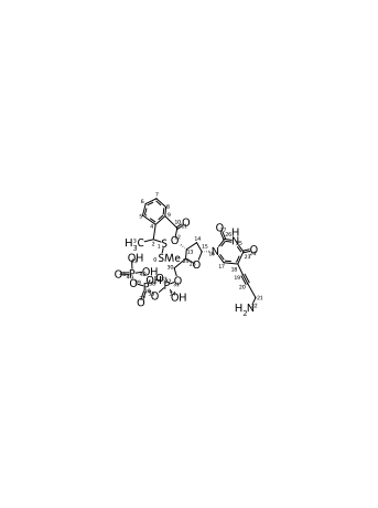 CSSC(C)c1ccccc1C(=O)O[C@@H]1C[C@H](n2cc(C#CCN)c(=O)[nH]c2=O)OC1COP(=O)(O)OP(=O)(O)OP(=O)(O)O